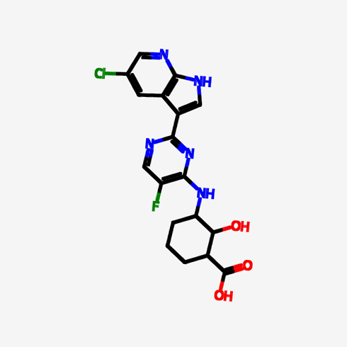 O=C(O)C1CCCC(Nc2nc(-c3c[nH]c4ncc(Cl)cc34)ncc2F)C1O